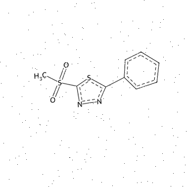 CS(=O)(=O)c1nnc(-c2ccccc2)s1